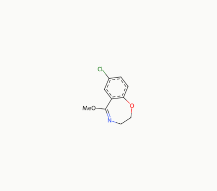 COC1=NCCOc2ccc(Cl)cc21